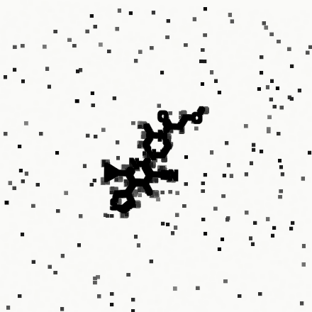 COCCC(=O)N1CCN(c2nc(C3CC3)c(-c3ccsc3)c(C)c2C#N)CC1C